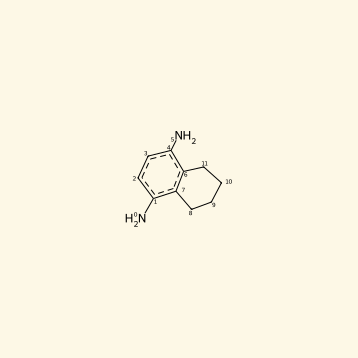 Nc1ccc(N)c2c1CCCC2